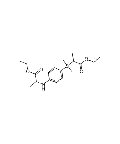 CCOC(=O)C(C)Nc1ccc([Si](C)(C)C(C)C(=O)OCC)cc1